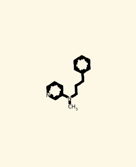 CN(C[CH]Cc1ccccc1)c1cccnc1